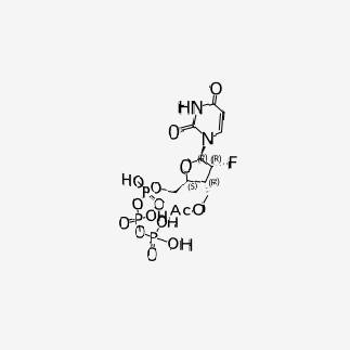 CC(=O)OC[C@H]1[C@@H](F)[C@H](n2ccc(=O)[nH]c2=O)O[C@@H]1COP(=O)(O)OP(=O)(O)OP(=O)(O)O